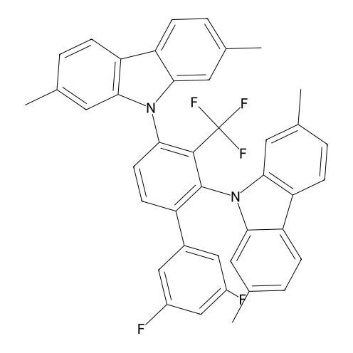 Cc1ccc2c3ccc(C)cc3n(-c3ccc(-c4cc(F)cc(F)c4)c(-n4c5cc(C)ccc5c5ccc(C)cc54)c3C(F)(F)F)c2c1